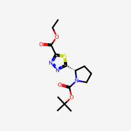 CCOC(=O)c1nnc([C@@H]2CCCN2C(=O)OC(C)(C)C)s1